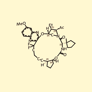 CC[C@@H]1[C@@H]2CN(C(=O)[C@H](C3(C)CCCC3)NC(=O)O[C@@H]3CCC[C@H]3CCCCC(F)(F)c3nc4ccc(OC)cc4nc3O2)[C@@H]1C(C)=O